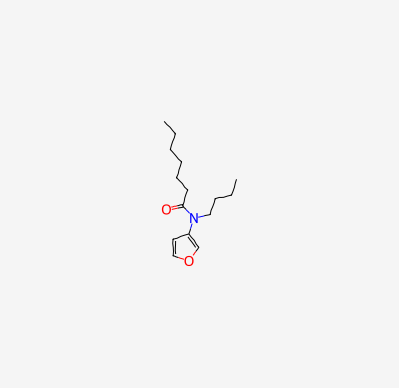 CCCCCCC(=O)N(CCCC)c1ccoc1